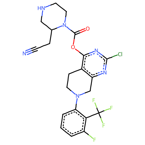 N#CCC1CNCCN1C(=O)Oc1nc(Cl)nc2c1CCN(c1cccc(F)c1C(F)(F)F)C2